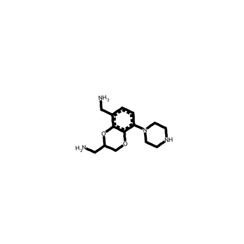 NCc1ccc(N2CCNCC2)c2c1OC(CN)CO2